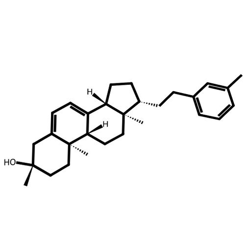 Cc1cccc(CC[C@H]2CC[C@H]3C4=CC=C5C[C@@](C)(O)CC[C@]5(C)[C@H]4CC[C@]23C)c1